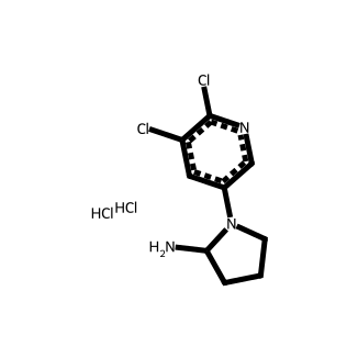 Cl.Cl.NC1CCCN1c1cnc(Cl)c(Cl)c1